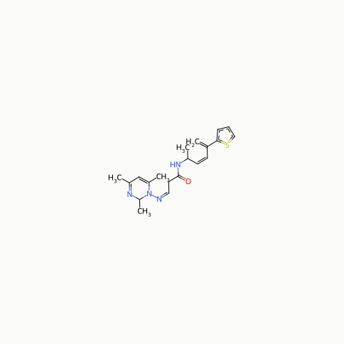 C=C(/C=C\C(C)NC(=O)C/C=N\N1C(C)=CC(C)=NC1C)c1cccs1